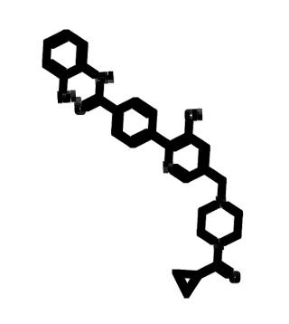 N#Cc1cc(CN2CCN(C(=O)C3CC3)CC2)cnc1-c1ccc(C(=O)Nc2ccccc2N)cc1